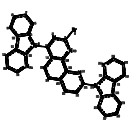 Brc1nc(-n2c3ccccc3c3cccnc32)c2ccc3ccc(-n4c5ccccc5c5cccnc54)nc3c2n1